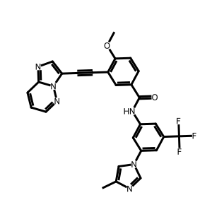 COc1ccc(C(=O)Nc2cc(-n3cnc(C)c3)cc(C(F)(F)F)c2)cc1C#Cc1cnc2cccnn12